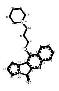 O=C1c2nc3ccccc3c(OCCCN3CCCCC3)c2-c2cccn21